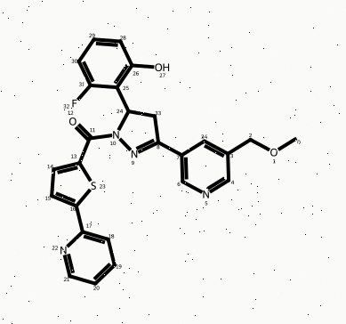 COCc1cncc(C2=NN(C(=O)c3ccc(-c4ccccn4)s3)C(c3c(O)cccc3F)C2)c1